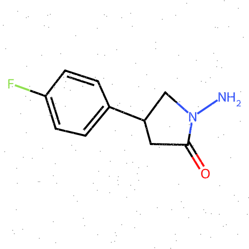 NN1CC(c2ccc(F)cc2)CC1=O